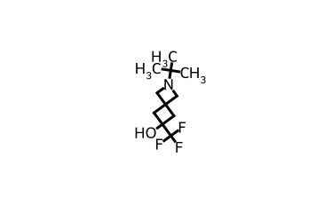 CC(C)(C)N1CC2(C1)CC(O)(C(F)(F)F)C2